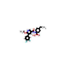 CCC1CCC(NC(=O)c2cnc(OC)c(-c3ccc(F)c(F)c3)c2)(C(=O)O)CC1